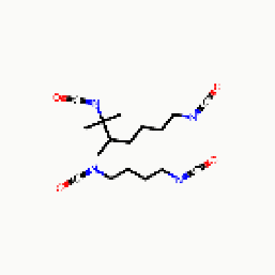 CC(CCCCN=C=O)C(C)(C)N=C=O.O=C=NCCCCN=C=O